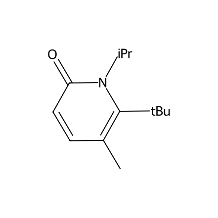 Cc1ccc(=O)n(C(C)C)c1C(C)(C)C